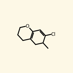 CC1CC2=C(C=C1Cl)OCCC2